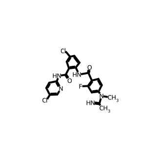 CC(=N)N(C)c1ccc(C(=O)Nc2ccc(Cl)cc2C(=O)Nc2ccc(Cl)cn2)c(F)c1